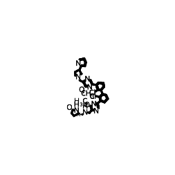 COc1nc(-c2cccc(-c3cccc(-c4cnc(CN5CCC(c6ccccn6)C5)c(OC)n4)c3Cl)c2Cl)cnc1CNC[C@@H]1CCC(=O)N1